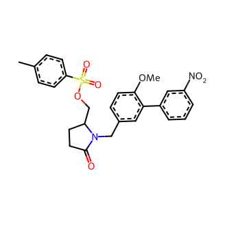 COc1ccc(CN2C(=O)CCC2COS(=O)(=O)c2ccc(C)cc2)cc1-c1cccc([N+](=O)[O-])c1